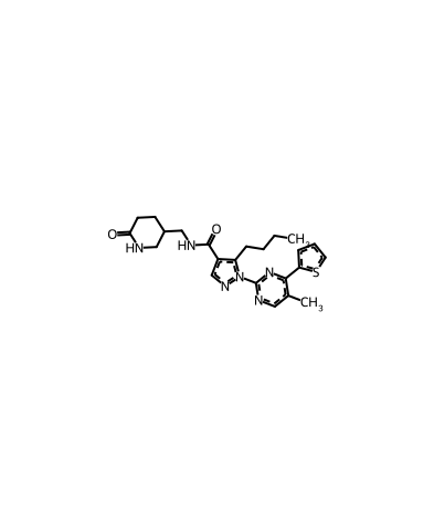 CCCCc1c(C(=O)NCC2CCC(=O)NC2)cnn1-c1ncc(C)c(-c2cccs2)n1